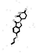 C=CCOc1ccc2c(c1)CN(C1CCC(=O)NC1=O)C2=O